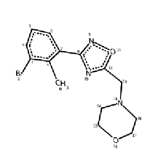 Cc1c(Br)cccc1-c1noc(CN2CCOCC2)n1